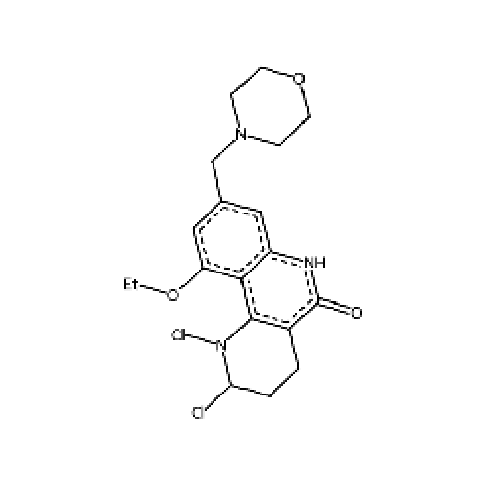 CCOc1cc(CN2CCOCC2)cc2[nH]c(=O)c3c(c12)N(Cl)C(Cl)CC3